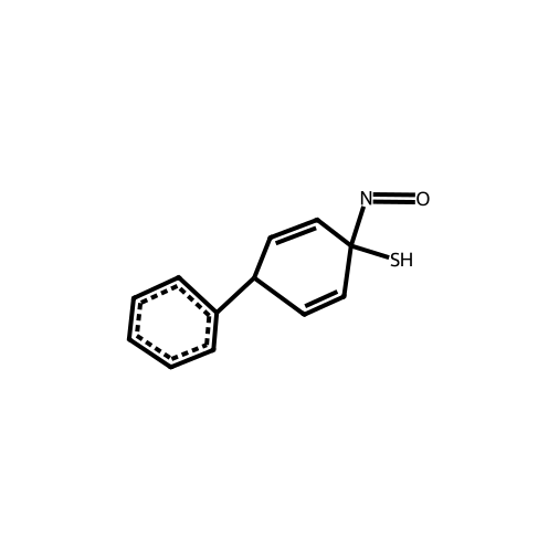 O=NC1(S)C=CC(c2ccccc2)C=C1